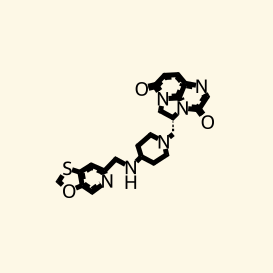 O=c1ccc2ncc(=O)n3c2n1C[C@H]3CN1CCC(NCc2cc3c(cn2)OCS3)CC1